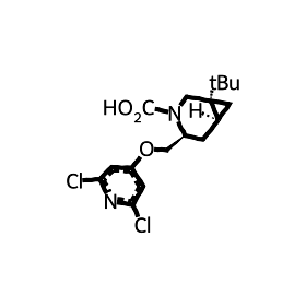 CC(C)(C)[C@]12C[C@H]1C[C@@H](COc1cc(Cl)nc(Cl)c1)N(C(=O)O)C2